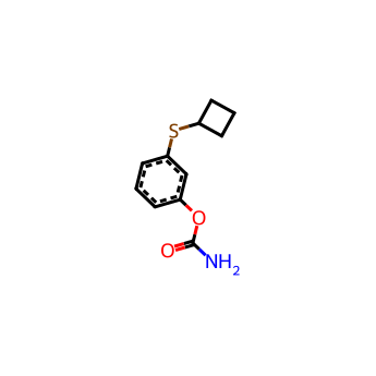 NC(=O)Oc1cccc(SC2CCC2)c1